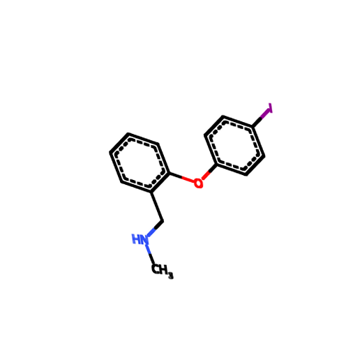 CNCc1ccccc1Oc1ccc(I)cc1